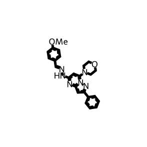 COc1ccc(/C=N/Nc2cc(N3CCOCC3)n3nc(-c4ccccc4)cc3n2)cc1